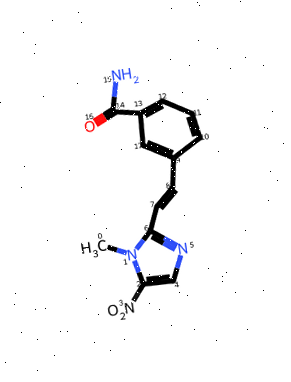 Cn1c([N+](=O)[O-])cnc1C=Cc1cccc(C(N)=O)c1